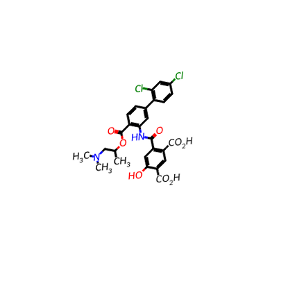 CC(CN(C)C)OC(=O)c1ccc(-c2ccc(Cl)cc2Cl)cc1NC(=O)c1cc(O)c(C(=O)O)cc1C(=O)O